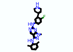 Cc1cccc(C)c1Nc1nn(C)c2nc(Nc3ccc(F)c(C4=CCNCC4)c3)ncc12